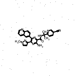 Cn1ccc(-c2nc(N)c(C(=O)NC(C)(C)c3ccc(C#N)cn3)nc2-c2ccc3ncccc3c2)n1